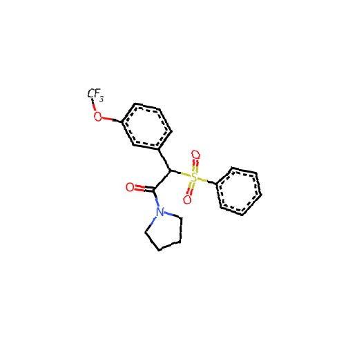 O=C(C(c1cccc(OC(F)(F)F)c1)S(=O)(=O)c1ccccc1)N1CCCC1